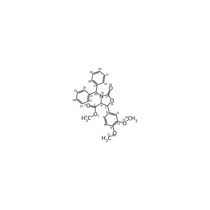 COC(=O)C1C(c2ccc(OC)c(OC)c2)OC(=O)N1C(c1ccccc1)c1ccccc1